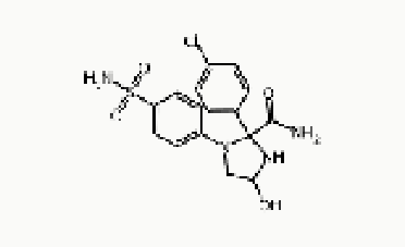 NC(=O)C1(c2ccc(Cl)cc2)NC(O)CN1c1ccc(S(N)(=O)=O)cc1